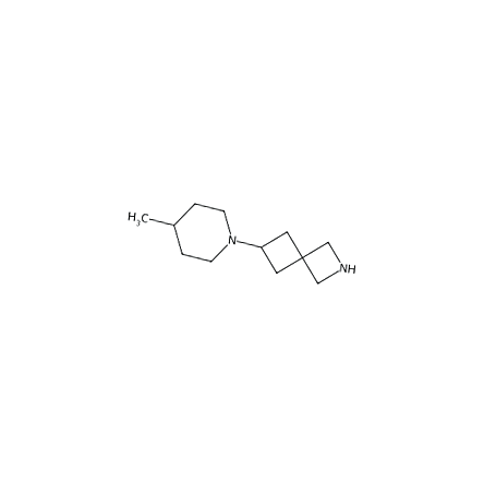 CC1CCN(C2CC3(CNC3)C2)CC1